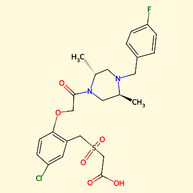 C[C@@H]1CN(Cc2ccc(F)cc2)[C@@H](C)CN1C(=O)COc1ccc(Cl)cc1CS(=O)(=O)CC(=O)O